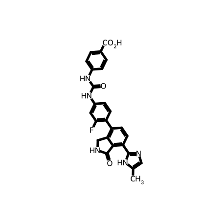 Cc1cnc(-c2ccc(-c3ccc(NC(=O)Nc4ccc(C(=O)O)cc4)cc3F)c3c2C(=O)NC3)[nH]1